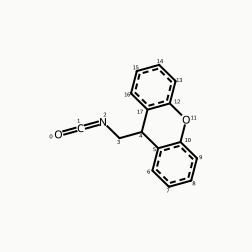 O=C=NCC1c2ccccc2Oc2ccccc21